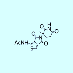 CC(=O)Nc1scc2c1C(=O)N(C1(C)CCC(=O)NC1=O)C2=O